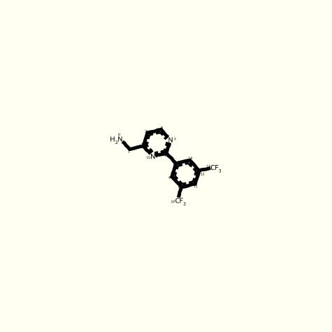 NCc1ccnc(-c2cc(C(F)(F)F)cc(C(F)(F)F)c2)n1